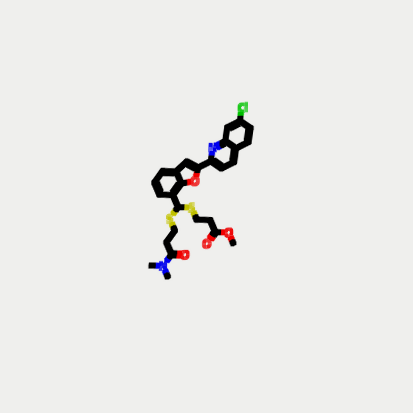 COC(=O)CCSC(SCCC(=O)N(C)C)c1cccc2cc(-c3ccc4ccc(Cl)cc4n3)oc12